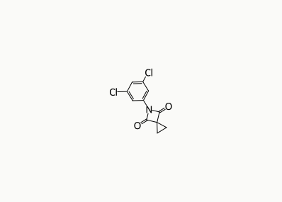 O=C1N(c2cc(Cl)cc(Cl)c2)C(=O)C12CC2